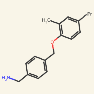 Cc1cc(C(C)C)ccc1OCc1ccc(CN)cc1